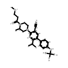 COCCC(=O)N1CCN(c2nc(C(C)C)c(-c3ccc(OC(F)(F)F)cc3)cc2C#N)CC1C